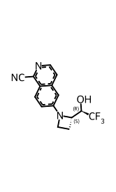 N#Cc1nccc2cc(N3CC[C@H]3[C@@H](O)C(F)(F)F)ccc12